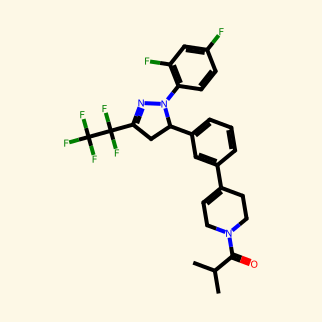 CC(C)C(=O)N1CC=C(c2cccc(C3CC(C(F)(F)C(F)(F)F)=NN3c3ccc(F)cc3F)c2)CC1